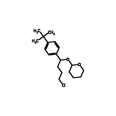 CC(C)(C)c1ccc(C(CCCCl)OC2CCCCO2)cc1